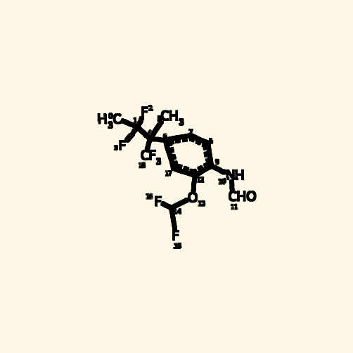 CC(F)(F)C(C)(c1ccc(NC=O)c(OC(F)F)c1)C(F)(F)F